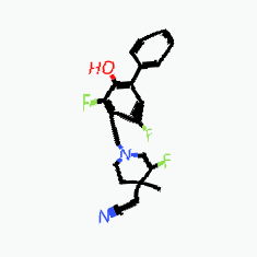 CC1(CC#N)CCN(Cc2c(F)cc(-c3ccccc3)c(O)c2F)CC1F